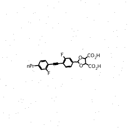 CCCc1ccc(C#Cc2ccc(C3OC(C(=O)O)C(C(=O)O)O3)cc2F)c(F)c1